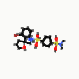 CN(C)S(=O)(=O)c1ccc(S(=O)(=O)NCC2(c3ccccc3Br)CCCO2)cc1